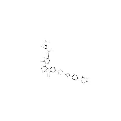 Cc1c([C@@H](C)NC(=O)c2noc(C(C)(C)C)n2)ccc(-c2ncnc3[nH]c4cc(N5CCN(C6CC(c7ccc(N8CCC(=O)NC8=O)cc7)C6)CC5)ccc4c23)c1F